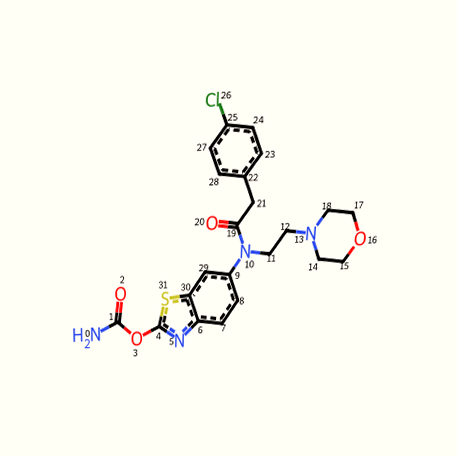 NC(=O)Oc1nc2ccc(N(CCN3CCOCC3)C(=O)Cc3ccc(Cl)cc3)cc2s1